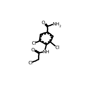 NC(=O)c1cc(Cl)c(NC(=O)CCl)c(Cl)c1